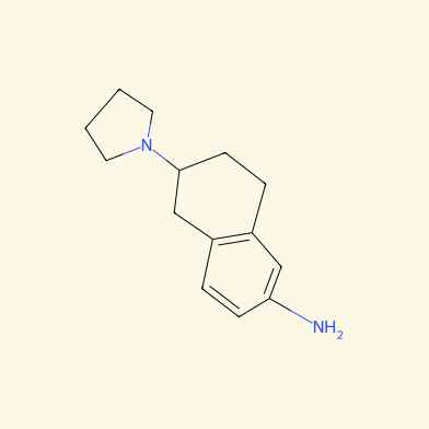 Nc1ccc2c(c1)CCC(N1CCCC1)C2